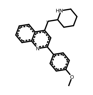 COc1ccc(-c2cc([C]C3CCCCN3)c3ccccc3n2)cc1